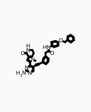 Cn1c(-c2nc(N)ncc2C#Cc2cccc(CC(=O)Nc3ccc(OCc4ccccc4)cc3)c2)cc2c1CCNC2=O